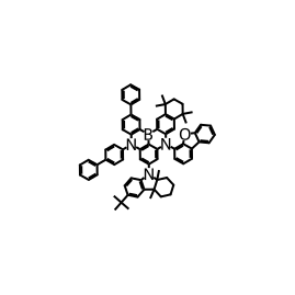 CC(C)(C)c1ccc2c(c1)C1(C)CCCCC1(C)N2c1cc2c3c(c1)N(c1cccc4c1oc1ccccc14)c1cc4c(cc1B3c1cc(-c3ccccc3)ccc1N2c1ccc(-c2ccccc2)cc1)C(C)(C)CCC4(C)C